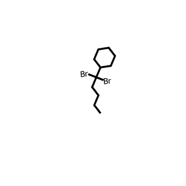 CCCCC(Br)(Br)C1CCCCC1